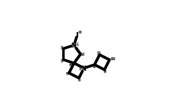 IN1CCC2(CCN2C2CCC2)C1